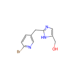 OCc1cnc(Cc2ccc(Br)nc2)[nH]1